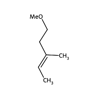 [CH2]OCC/C(C)=C/C